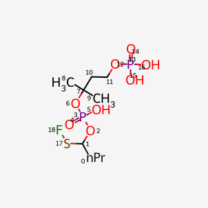 CCCC(OP(=O)(O)OC(C)(C)CCOP(=O)(O)O)SF